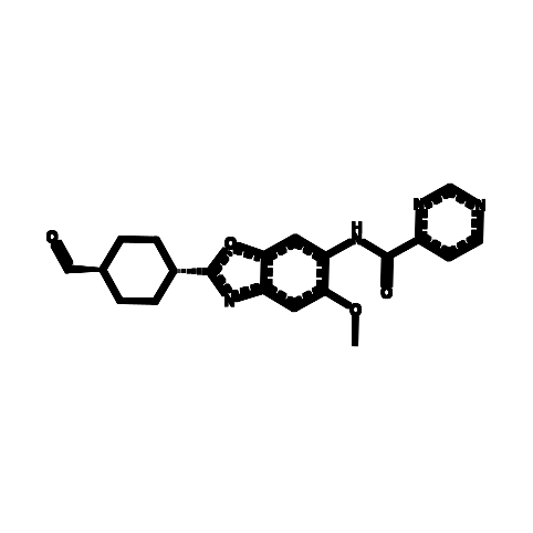 COc1cc2nc([C@H]3CC[C@H](C=O)CC3)oc2cc1NC(=O)c1ccncn1